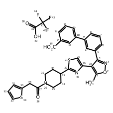 Cc1onc(-c2cccc(-c3cccc(C(=O)O)c3)c2)c1-c1csc(C2CCN(C(=O)Cc3cccs3)CC2)n1.O=C(O)C(F)(F)F